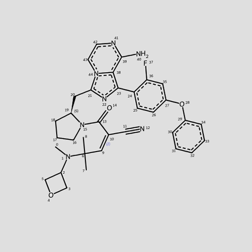 CN(C1COC1)C(C)(C)/C=C(/C#N)C(=O)N1CCC[C@H]1Cc1nc(-c2ccc(Oc3ccccc3)cc2F)c2c(N)nccn12